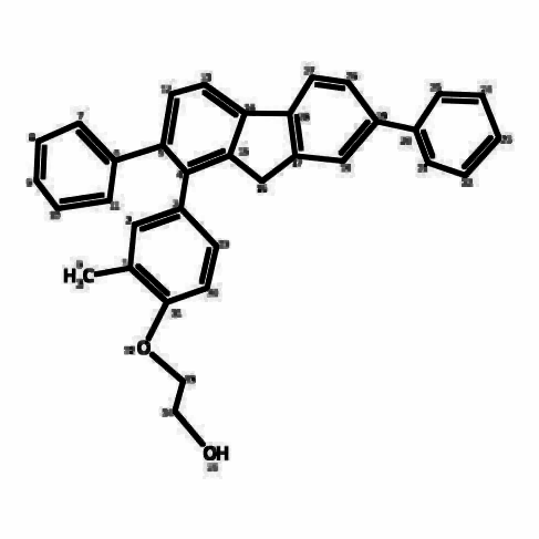 Cc1cc(-c2c(-c3ccccc3)ccc3c2Cc2cc(-c4ccccc4)ccc2-3)ccc1OCCO